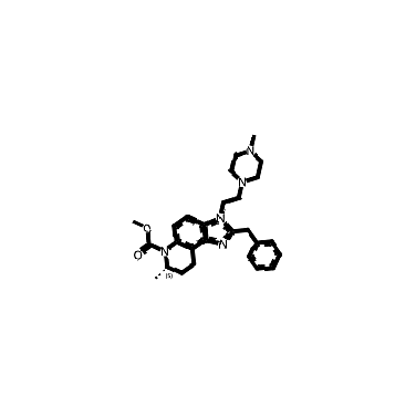 COC(=O)N1c2ccc3c(nc(Cc4ccccc4)n3CCN3CCN(C)CC3)c2CC[C@@H]1C